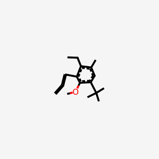 C=C=Cc1c(CC)c(C)cc(C(C)(C)C)c1OC